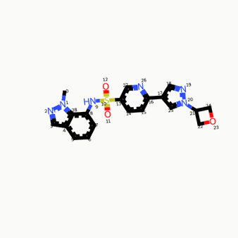 Cn1ncc2cccc(NS(=O)(=O)c3ccc(-c4cnn(C5COC5)c4)nc3)c21